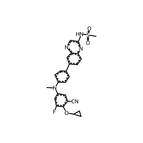 CN(c1ccc(-c2ccc3nc(NS(C)(=O)=O)cnc3c2)cc1)c1cc(F)c(OC2CC2)c(C#N)c1